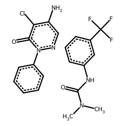 CN(C)C(=O)Nc1cccc(C(F)(F)F)c1.Nc1cnn(-c2ccccc2)c(=O)c1Cl